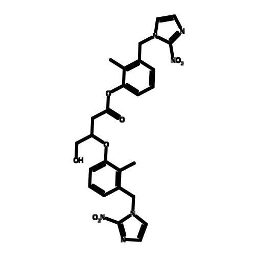 Cc1c(Cn2ccnc2[N+](=O)[O-])cccc1OC(=O)CC(CO)Oc1cccc(Cn2ccnc2[N+](=O)[O-])c1C